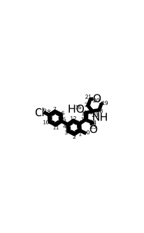 Cc1ccc(-c2ccc(Cl)cc2)cc1C1=C(O)C2(CCOCC2)NC1=O